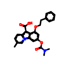 Cc1ccc2c(C(=O)O)c3c(OCCc4ccccc4)cc(OC(=O)N(C)C)cc3n2c1